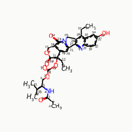 CCC(=O)NC(COC(=O)OC1(CC)C(=O)OCc2c1cc1n(c2=O)Cc2c-1nc1ccc(O)cc1c2CC)C(C)C